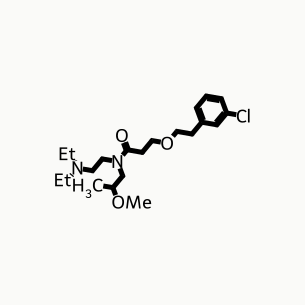 CCN(CC)CCN(CC(C)OC)C(=O)CCOCCc1cccc(Cl)c1